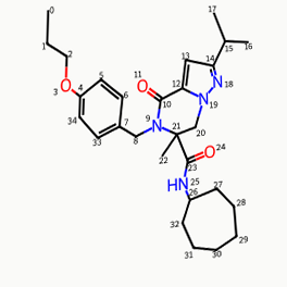 CCCOc1ccc(CN2C(=O)c3cc(C(C)C)nn3CC2(C)C(=O)NC2CCCCCC2)cc1